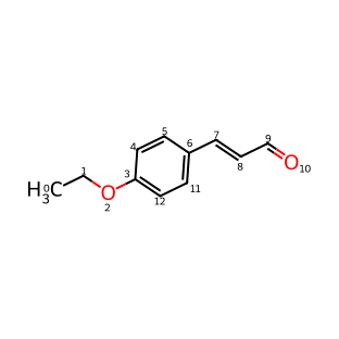 CCOc1ccc(C=CC=O)cc1